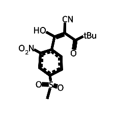 CC(C)(C)C(=O)C(C#N)=C(O)c1ccc(S(C)(=O)=O)cc1[N+](=O)[O-]